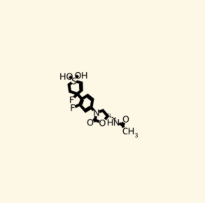 CC(=O)NC[C@H]1CN(c2ccc(C3(F)C=CS(O)(O)CC3)c(F)c2)C(=O)O1